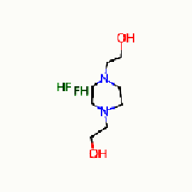 F.F.OCCN1CCN(CCO)CC1